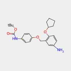 CC(C)(C)OC(=O)Nc1ccc(OCc2cc(N)ccc2OC2CCCC2)cc1